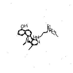 CCN(CC)CCCNc1ncc(C)c2c1c1ccc3c(O)cccc3c1n2C